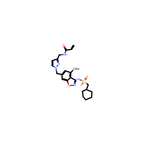 C=CC(=O)NCc1ccn(Cc2cc(OC)c3c(NS(=O)(=O)CC4CCCCC4)noc3c2)n1